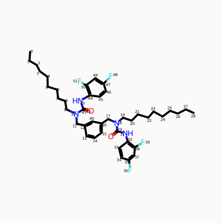 CCCCCCCCCCN(Cc1cccc(CN(CCCCCCCCCC)C(=O)Nc2ccc(F)cc2F)c1)C(=O)Nc1ccc(F)cc1F